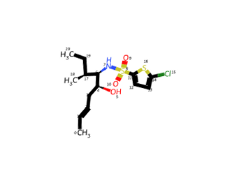 C/C=C/C[C@H](O)[C@H](NS(=O)(=O)c1ccc(Cl)s1)[C@@H](C)CC